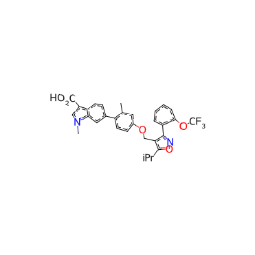 Cc1cc(OCc2c(-c3ccccc3OC(F)(F)F)noc2C(C)C)ccc1-c1ccc2c(C(=O)O)cn(C)c2c1